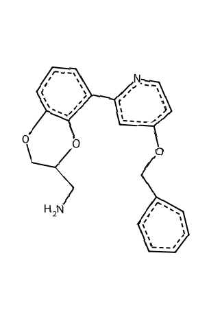 NCC1COc2cccc(-c3cc(OCc4ccccc4)ccn3)c2O1